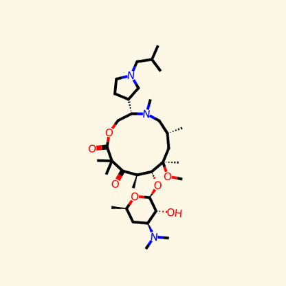 CO[C@]1(C)C[C@@H](C)CN(C)[C@@H](C2CCN(CC(C)C)C2)COC(=O)C(C)(C)C(=O)[C@H](C)[C@H]1O[C@@H]1O[C@H](C)C[C@H](N(C)C)[C@H]1O